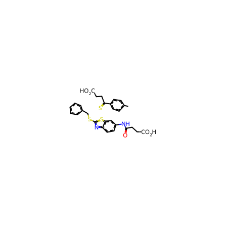 Cc1ccc(C(=S)CCC(=O)O)cc1.O=C(O)CCC(=O)Nc1ccc2nc(SCc3ccccc3)sc2c1